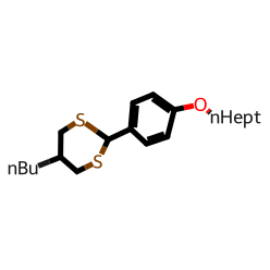 CCCCCCCOc1ccc(C2SCC(CCCC)CS2)cc1